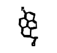 O=[S+]c1ccc2ccc3c(F)ccc4ccc1c2c43